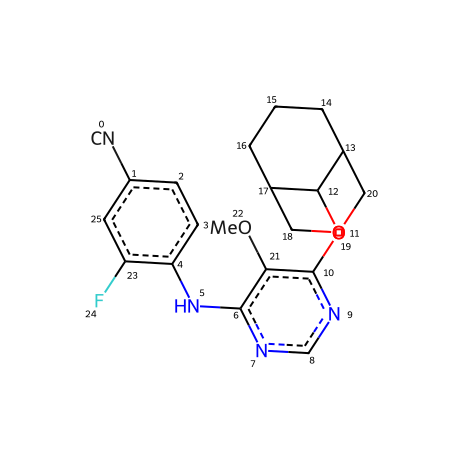 [C-]#[N+]c1ccc(Nc2ncnc(OC3C4CCCC3COC4)c2OC)c(F)c1